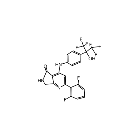 O=C1NCc2nc(-c3c(F)cccc3F)cc(Nc3ccc(C(O)(C(F)(F)F)C(F)(F)F)cc3)c21